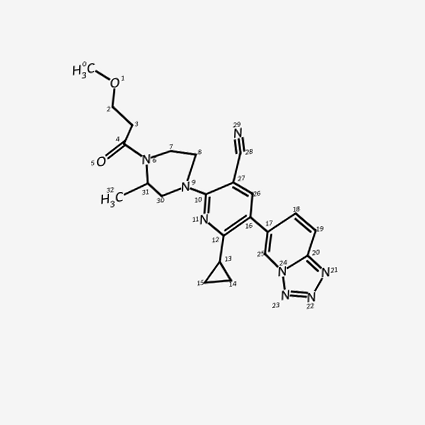 COCCC(=O)N1CCN(c2nc(C3CC3)c(-c3ccc4nnnn4c3)cc2C#N)CC1C